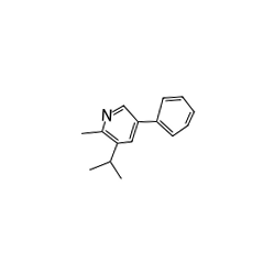 Cc1ncc(-c2ccccc2)cc1C(C)C